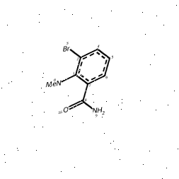 CNc1c(Br)cccc1C(N)=O